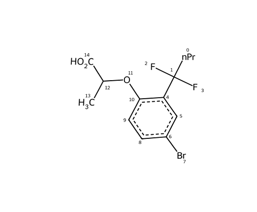 CCCC(F)(F)c1cc(Br)ccc1OC(C)C(=O)O